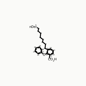 CCCCCCCCCCCCCCCCCCc1cccc(C(=O)O)c1Oc1ccccc1